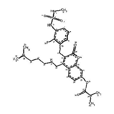 CNS(=O)(=O)Nc1cccc(Cc2c(CNCCCN(C)C)c3ccc(OC(=O)N(C)C)cc3oc2=O)c1F